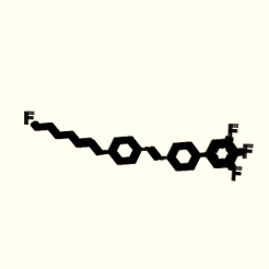 FCCCCC=CC[C@H]1CC[C@H](CC[C@H]2CC[C@H](c3cc(F)c(F)c(F)c3)CC2)CC1